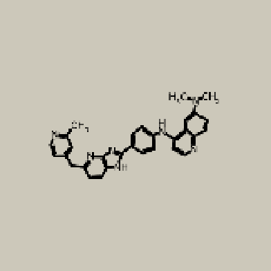 Cc1cc(Cc2ccc3[nH]c(-c4ccc(Nc5ccnc6ccc(N(C)C)cc56)cc4)nc3n2)ccn1